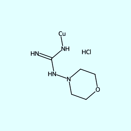 Cl.N=C([NH][Cu])NN1CCOCC1